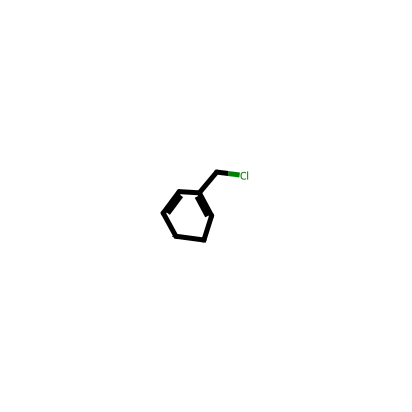 ClCC1=CC[CH]C=C1